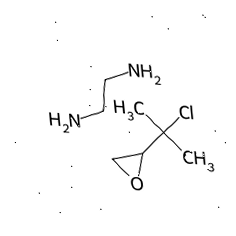 CC(C)(Cl)C1CO1.NCCN